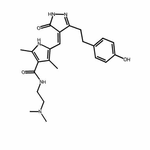 Cc1[nH]c(C=C2C(=O)NN=C2CCc2ccc(O)cc2)c(C)c1C(=O)NCCN(C)C